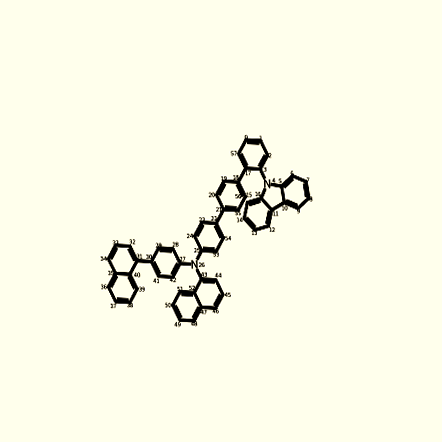 c1ccc(-n2c3ccccc3c3ccccc32)c(-c2ccc(-c3ccc(N(c4ccc(-c5cccc6ccccc56)cc4)c4cccc5ccccc45)cc3)cc2)c1